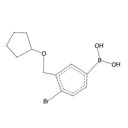 OB(O)c1ccc(Br)c(COC2CCCC2)c1